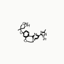 Cc1nc(-c2cn3c(n2)-c2ccc(OC(C)(CO)CO)cc2OCC3)n(C(C)C)n1